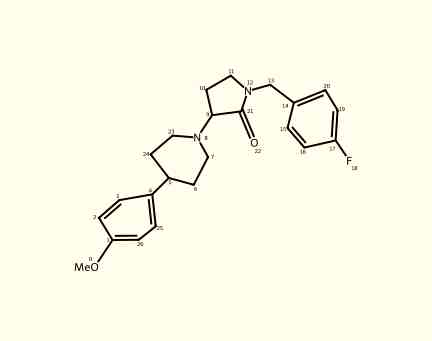 COc1ccc(C2CCN(C3CCN(Cc4ccc(F)cc4)C3=O)CC2)cc1